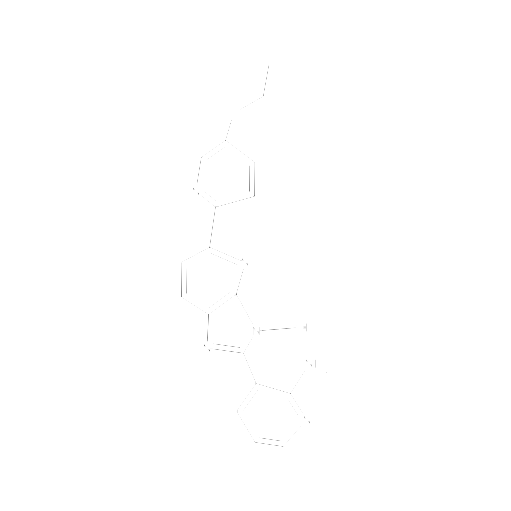 CCOc1ccc(-c2ccc3nc(-c4cccnc4N)n(O)c3n2)nc1